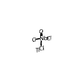 [O]=[Nb]([Cl])([Cl])[Cl].[Tl]